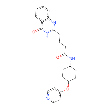 O=C(CCCc1nc2ccccc2c(=O)[nH]1)N[C@H]1CC[C@H](Oc2ccncc2)CC1